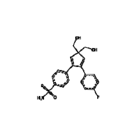 NS(=O)(=O)c1ccc(C2=CC(CO)(CO)C=C2c2ccc(F)cc2)cc1